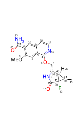 COc1cc2c(OC[C@H]3NC(=O)[C@@]4(F)[C@@H]3[C@H]4C)nccc2cc1C(N)=O